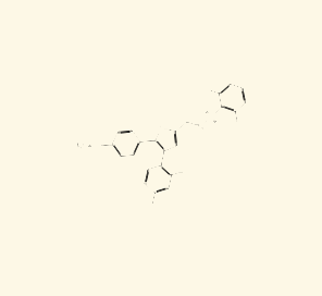 COc1ccc(-c2sc(CNS(=O)(=O)c3c(F)cccc3F)cc2-c2ccc(Cl)cc2Cl)cc1